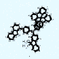 CC1(C)c2ccccc2-c2ccc(N(c3ccc(C4=C5Cc6ccccc6C5CC=C4)cc3)c3cccc(-c4cccc5c4C4(c6ccccc6-c6ccccc64)c4ccccc4-5)c3)cc21